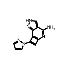 Nc1nc2c(c3n[nH]cc13)C(n1cccn1)=C2